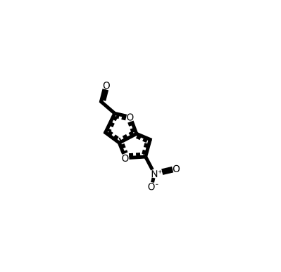 O=Cc1cc2oc([N+](=O)[O-])cc2o1